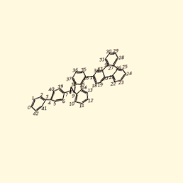 c1ccc(-c2ccc(-n3c4ccccc4c4c(-c5ccc6c7ccccc7c7ccccc7c6c5)cccc43)cc2)cc1